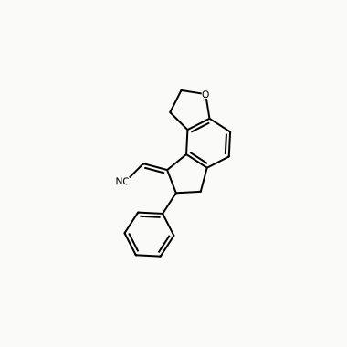 N#CC=C1c2c(ccc3c2CCO3)CC1c1ccccc1